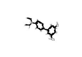 CCN(CC)c1ccc(-c2cc(Cl)cc(Cl)c2)cc1